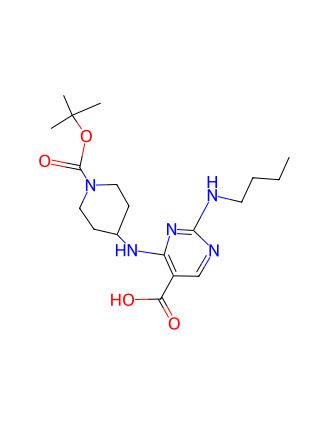 CCCCNc1ncc(C(=O)O)c(NC2CCN(C(=O)OC(C)(C)C)CC2)n1